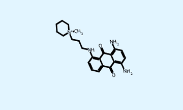 C[N+]1(CCCNc2cccc3c2C(=O)c2c(N)ccc(N)c2C3=O)CCCCC1